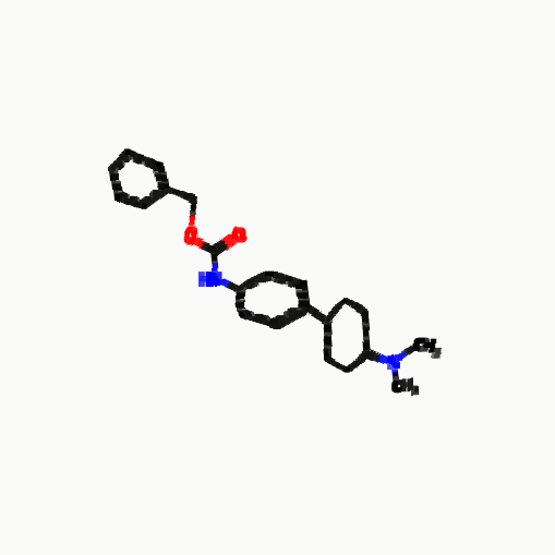 CN(C)C1CC=C(c2ccc(NC(=O)OCc3ccccc3)cc2)CC1